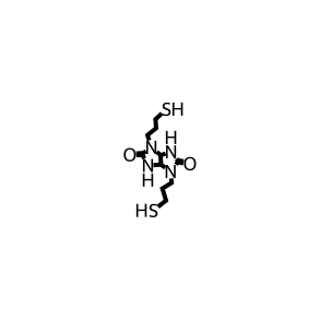 O=C1NC2C(NC(=O)N2CCCS)N1CCCS